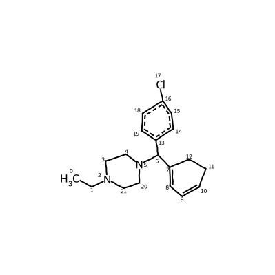 CCN1CCN(C(C2=CC=CCC2)c2ccc(Cl)cc2)CC1